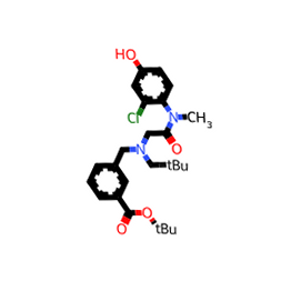 CN(C(=O)CN(Cc1cccc(C(=O)OC(C)(C)C)c1)CC(C)(C)C)c1ccc(O)cc1Cl